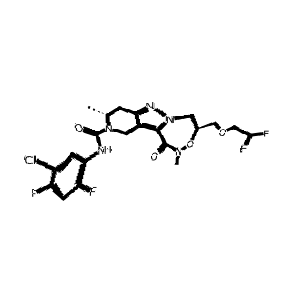 C[C@@H]1Cc2nn3c(c2CN1C(=O)Nc1cc(Cl)c(F)cc1F)C(=O)N(C)O[C@H](COCC(F)F)C3